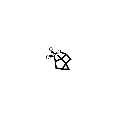 CC12C3CC14CC4CC2S(=O)(=O)O3